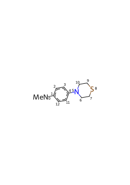 CNc1ccc(N2CCSCC2)cc1